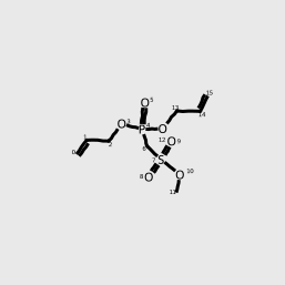 C=CCOP(=O)(CS(=O)(=O)OC)OCC=C